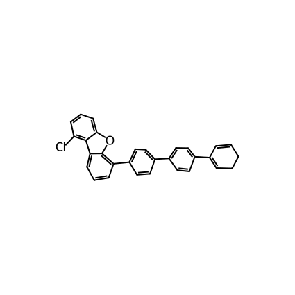 Clc1cccc2oc3c(-c4ccc(-c5ccc(C6=CCCC=C6)cc5)cc4)cccc3c12